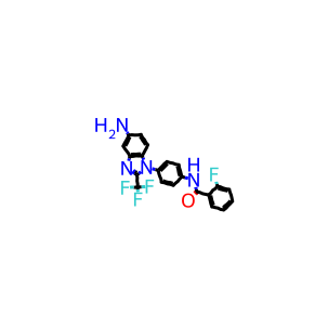 Nc1ccc2c(c1)nc(C(F)(F)F)n2-c1ccc(NC(=O)c2ccccc2F)cc1